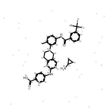 Cc1ccc(NC(=O)c2cccc(C(F)(F)F)c2)cc1N1CCc2nc(Nc3ccc(C(=O)O)nc3)ncc2C1.NC1CC1